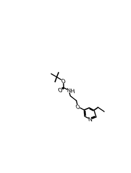 CCc1cncc(OCCNC(=O)OC(C)(C)C)c1